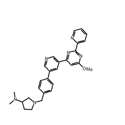 COc1cc(-c2cncc(-c3ccc(CN4CCC(N(C)C)C4)cc3)c2)nc(-c2ccccn2)n1